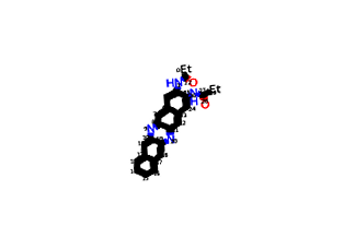 CCC(=O)Nc1cc2cc3nc4cc5ccccc5cc4nc3cc2cc1NC(=O)CC